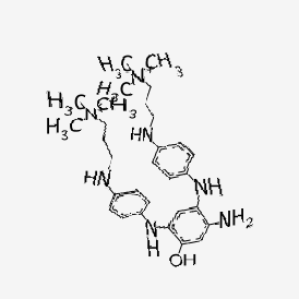 C[N+](C)(C)CCCNc1ccc(Nc2cc(Nc3ccc(NCCC[N+](C)(C)C)cc3)c(O)cc2N)cc1